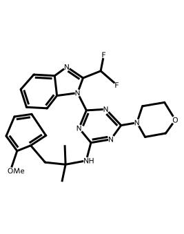 COc1ccccc1CC(C)(C)Nc1nc(N2CCOCC2)nc(-n2c(C(F)F)nc3ccccc32)n1